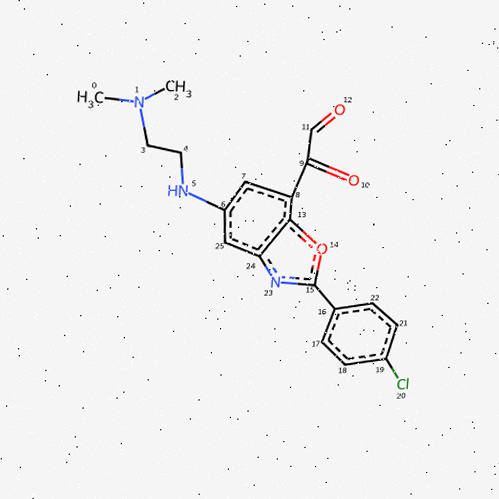 CN(C)CCNc1cc(C(=O)C=O)c2oc(-c3ccc(Cl)cc3)nc2c1